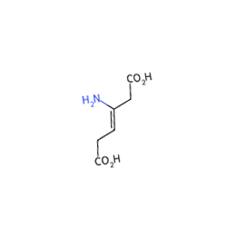 NC(=CCC(=O)O)CC(=O)O